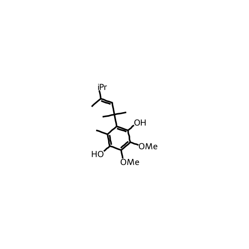 COc1c(O)c(C)c(C(C)(C)/C=C(\C)C(C)C)c(O)c1OC